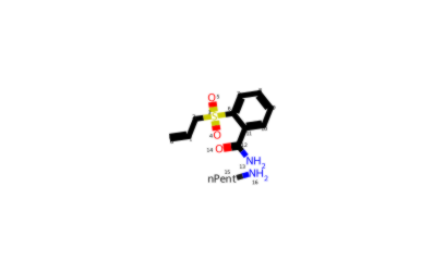 C=CCS(=O)(=O)c1ccccc1C(N)=O.CCCCCN